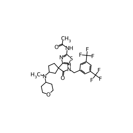 CC(=O)Nc1nc(C2(C(=O)NCc3cc(C(F)(F)F)cc(C(F)(F)F)c3)CCC(N(C)C3CCOCC3)C2)cs1